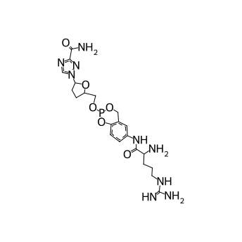 N=C(N)NCCCC(N)C(=O)Nc1ccc2c(c1)COP(OCC1CCC(n3cnc(C(N)=O)n3)O1)O2